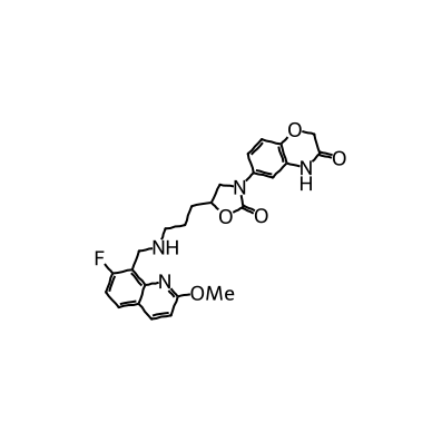 COc1ccc2ccc(F)c(CNCCCC3CN(c4ccc5c(c4)NC(=O)CO5)C(=O)O3)c2n1